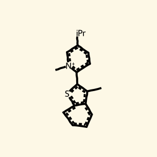 Cc1c(-c2ccc(C(C)C)c[n+]2C)sc2ccccc12